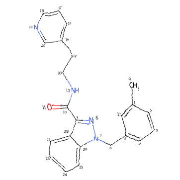 Cc1cccc(Cn2nc(C(=O)NCCc3cccnc3)c3ccccc32)c1